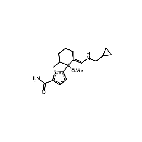 COC1(c2ccc(C(N)=O)s2)/C(=C/NCC2CC2)CCCC1C